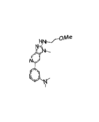 COCCNc1nc2cnc(-c3cccc(N(C)C)c3)cc2n1C